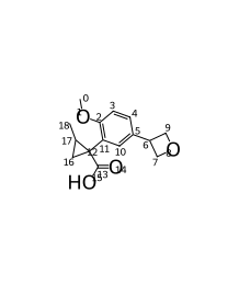 COc1ccc(C2COC2)cc1C1(C(=O)O)CC1C